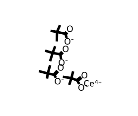 CC(C)(C)C(=O)[O-].CC(C)(C)C(=O)[O-].CC(C)(C)C(=O)[O-].CC(C)(C)C(=O)[O-].[Ce+4]